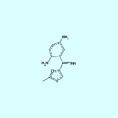 Cc1ncc(C(=N)c2cc(N)ccc2N)o1